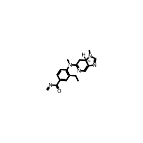 C=NC(=O)c1ccc(N(C)C2=NC=C3N=CN(C)[C@H]3C2)c(CC)c1